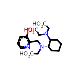 O=C(O)CN(CC(=O)O)C1CCCC[C@@H]1N(CC(=O)O)Cc1ncccc1O